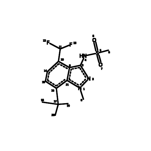 Cn1nc(NS(C)(=O)=O)c2c(C(F)F)ccc(C(C)(C)C)c21